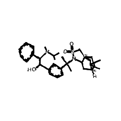 CC(C)N(C)C(c1ccccc1)C(O)c1cccc(C(C)(C)N2C3C[C@H]4CC[C@@]3(CC4(C)C)CS2(=O)=O)c1